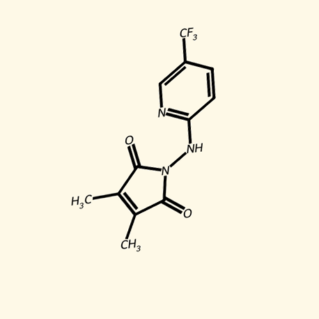 CC1=C(C)C(=O)N(Nc2ccc(C(F)(F)F)cn2)C1=O